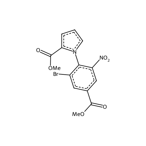 COC(=O)c1cc(Br)c(-n2cccc2C(=O)OC)c([N+](=O)[O-])c1